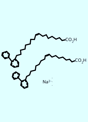 O=C(O)CCCCCCC/C=C\CCCCCCCCc1ccccc1-c1ccccc1.O=C(O)CCCCCCC/C=C\CCCCCCCCc1ccccc1-c1ccccc1.[Na-2]